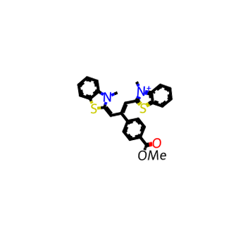 COC(=O)c1ccc(C(=C\c2sc3ccccc3[n+]2C)/C=C2/Sc3ccccc3N2C)cc1